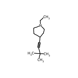 CCN1CCC(C#CC(C)(C)C)CC1